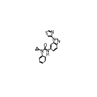 O=C(Nc1ccc2ncn(-c3cscn3)c2c1)N(c1ccccc1)C1CC1